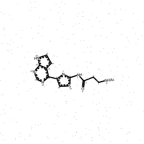 CC(=O)NCCC(=O)Nc1nc(-c2ncnc3[nH]ccc23)cs1